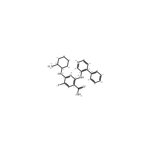 NC(=O)c1cc(F)c(NC2CCCCC2N)nc1Nc1cnccc1-c1ccccc1